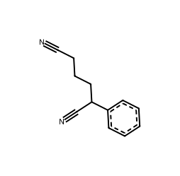 N#CCCCC(C#N)c1ccccc1